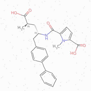 C[C@H](C[C@@H](Cc1ccc(-c2ccccc2)cc1)NC(=O)c1ccc(C(=O)O)n1C)C(=O)O